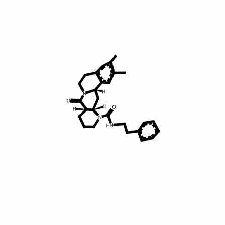 Cc1cc2c(cc1C)[C@@H]1C[C@H]3[C@H](CCCN3C(=O)NCCc3ccccc3)C(=O)N1CC2